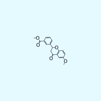 COC(=O)c1cccc(C2CC(=O)c3cc(OC)ccc3O2)c1